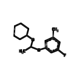 Cc1cc(F)cc(OC(C)OC2CCCCC2)c1